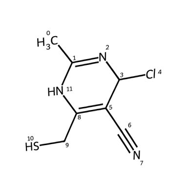 CC1=NC(Cl)C(C#N)=C(CS)N1